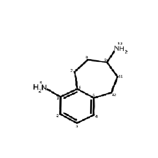 Nc1cccc2c1CCC(N)CC2